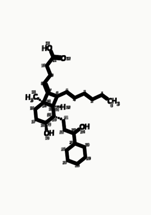 CCCCCCC1C(=CCCC(=O)O)[C@]2(C)CC[C@H](O)[C@@H](CCC(O)C3CCCCC3)[C@H]12